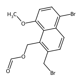 COc1ccc(Br)c2ccc(CBr)c(COC=O)c12